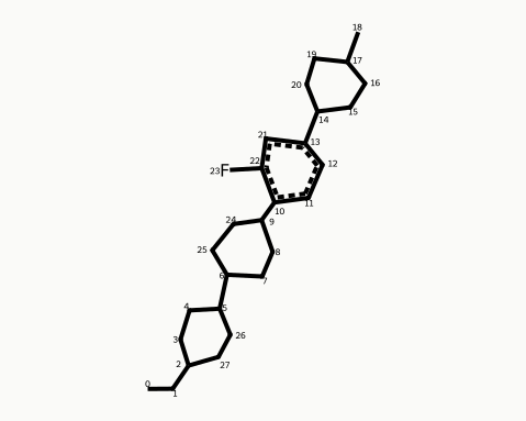 CCC1CCC(C2CCC(c3ccc(C4CCC(C)CC4)cc3F)CC2)CC1